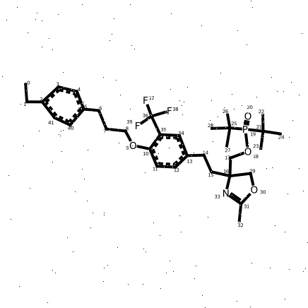 CCc1ccc(CCCOc2ccc(CCC3(COP(=O)(C(C)(C)C)C(C)(C)C)COC(C)=N3)cc2C(F)(F)F)cc1